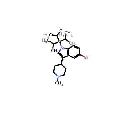 CC(C)[Si](C(C)C)(C(C)C)n1cc(C2CCN(C)CC2)c2cc(Br)ccc21